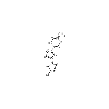 CN1CCC(c2nc(C3=NOC(I)C3)cs2)CC1